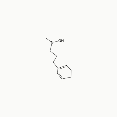 CN(O)CCCc1ccccc1